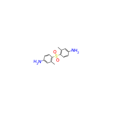 Cc1cc(N)ccc1S(=O)(=O)c1ccc(N)cc1C